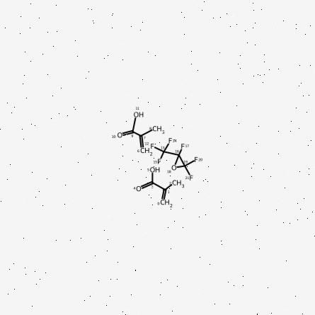 C=C(C)C(=O)O.C=C(C)C(=O)O.FC(F)(F)C1(F)OC1(F)F